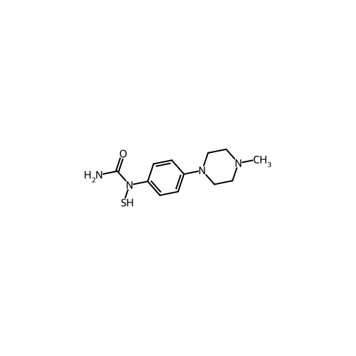 CN1CCN(c2ccc(N(S)C(N)=O)cc2)CC1